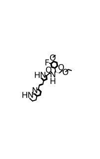 CCOC(=O)C[C@H](NC(=O)c1cc(/C=C/c2ccc3c(n2)NCCC3)c[nH]1)c1ccc(OC)c(F)c1